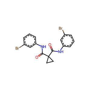 O=C(Nc1cccc(Br)c1)C1(C(=O)Nc2cccc(Br)c2)CC1